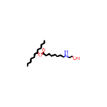 CCCCCCC(CCCCC)OC(=O)CCCCCCCNCCO